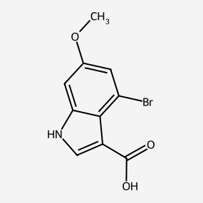 COc1cc(Br)c2c(C(=O)O)c[nH]c2c1